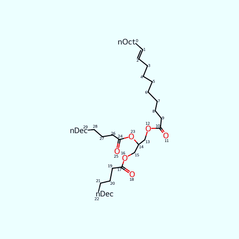 CCCCCCCCC=CCCCCCCCC(=O)OCC(COC(=O)CCCCCCCCCCCCC)OC(=O)CCCCCCCCCCCCC